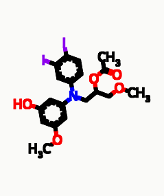 COCC(CN(c1cc(O)cc(OC)c1)c1ccc(I)c(I)c1)OC(C)=O